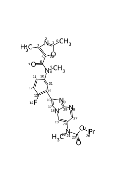 Cc1nc(C)c(C(=O)N(C)c2ccc(F)c(-c3cn4cc(N(C)C(=O)OC(C)C)cnc4n3)c2)o1